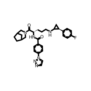 O=C(N[C@@H](CCCNC1C[C@H]1c1ccc(F)cc1)C(=O)N1CC2CCC(C2)C1)c1ccc(-n2ccnn2)cc1